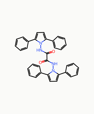 O=C(Nn1c(-c2ccccc2)ccc1-c1ccccc1)C(=O)Nn1c(-c2ccccc2)ccc1-c1ccccc1